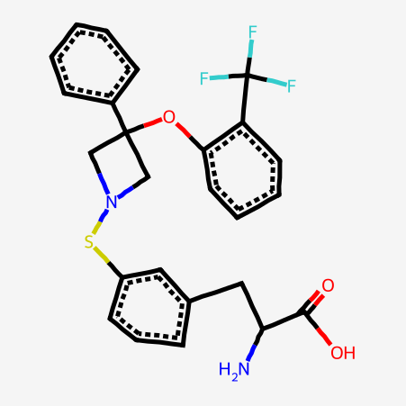 NC(Cc1cccc(SN2CC(Oc3ccccc3C(F)(F)F)(c3ccccc3)C2)c1)C(=O)O